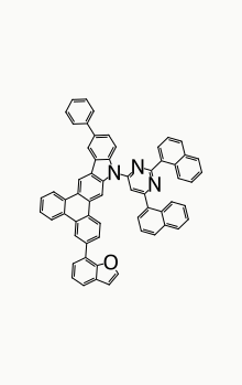 c1ccc(-c2ccc3c(c2)c2cc4c5ccccc5c5cc(-c6cccc7ccoc67)ccc5c4cc2n3-c2cc(-c3cccc4ccccc34)nc(-c3cccc4ccccc34)n2)cc1